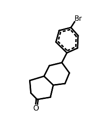 O=C1CCC2CC(c3ccc(Br)cc3)CCC2C1